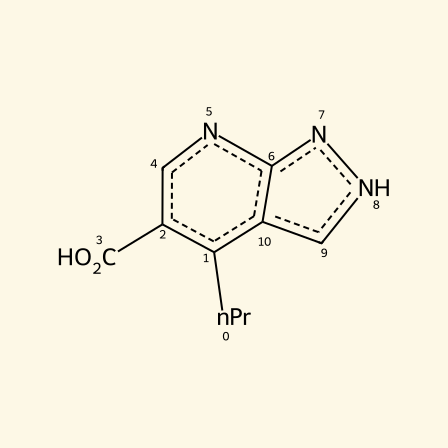 CCCc1c(C(=O)O)cnc2n[nH]cc12